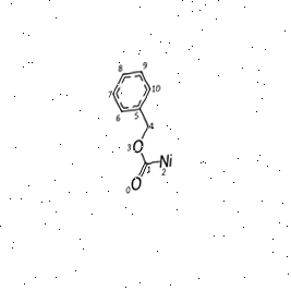 O=[C]([Ni])OCc1ccccc1